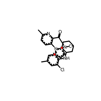 Cc1cnc(NC2CC3CCC2N(C(=O)c2nc(C)ccc2-n2nccn2)C3)c(Cl)c1